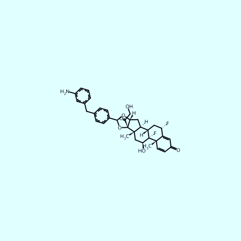 C[C@]12C=CC(=O)C=C1[C@@H](F)C[C@H]1[C@@H]3C[C@H]4OC(c5ccc(Cc6cccc(N)c6)cc5)O[C@@]4(C(=O)CO)[C@@]3(C)C[C@H](O)[C@@]12F